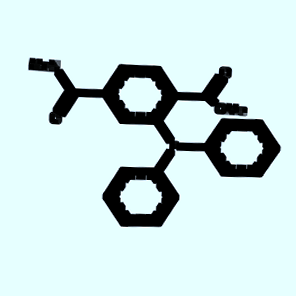 CNC(=O)c1ccc(C(=O)OC)c(P(c2ccccc2)c2ccccc2)c1